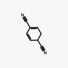 N#CC1=CCC(C#N)C=C1